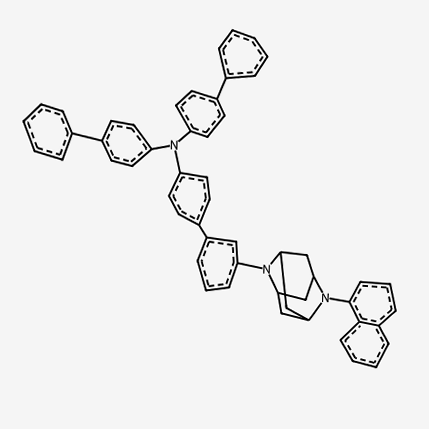 c1ccc(-c2ccc(N(c3ccc(-c4ccccc4)cc3)c3ccc(-c4cccc(N5C6CC7CC5CC(C6)N7c5cccc6ccccc56)c4)cc3)cc2)cc1